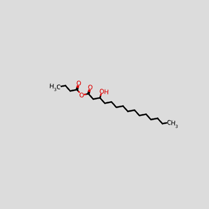 CCCCCCCCCCCCC(O)CC(=O)OC(=O)CCC